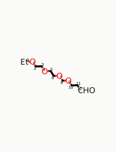 CCOCCOCCOCOCCC=O